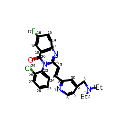 CCN(CC)Cc1ccnc(C=Cc2nc3ccc(F)cc3c(=O)n2-c2ccccc2Cl)c1